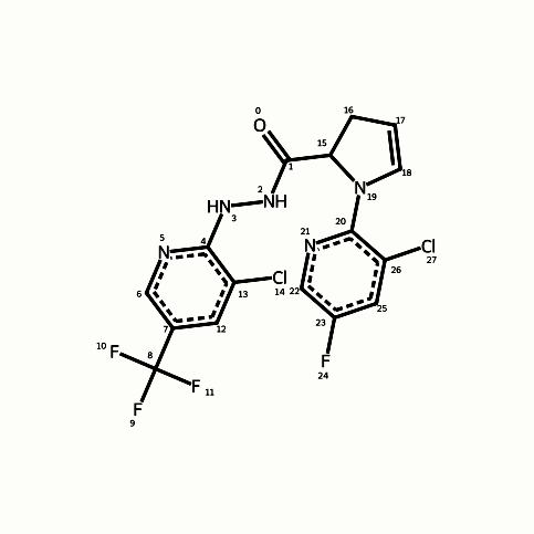 O=C(NNc1ncc(C(F)(F)F)cc1Cl)C1CC=CN1c1ncc(F)cc1Cl